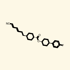 N#CC=CC=CCC[C@H]1CC[C@H](C(=O)O[C@H]2CC[C@H](c3ccc(F)cc3)CC2)CC1